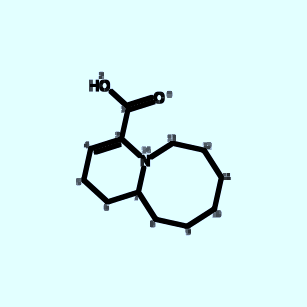 O=C(O)C1=CCCC2CCCCCCN12